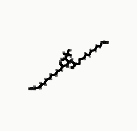 CCCCCCCCC=CCCCCCCCC(=O)OC(OC(=O)CCCCCCCC=CCCCCCCCC)C(C)[N+](C)(C)C